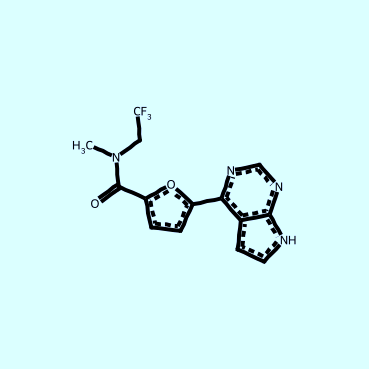 CN(CC(F)(F)F)C(=O)c1ccc(-c2ncnc3[nH]ccc23)o1